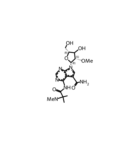 CNC(C)(C)C(=O)Nc1ncnc2c1c(C(N)=O)cn2[C@@H]1O[C@H](CO)C(O)[C@@H]1OC